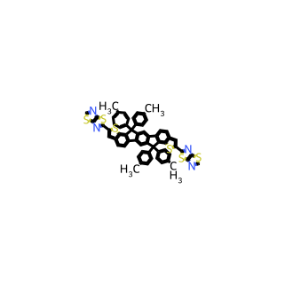 CC1=CCC=C(C2(c3ccc(C)cc3)c3cc4c(cc3-c3ccc5cc(-c6nc7scnc7s6)sc5c32)C(c2ccc(C)cc2)(c2ccc(C)cc2)c2c-4ccc3cc(-c4nc5scnc5s4)sc23)C=C1